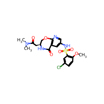 COc1ccc(Cl)cc1S(=O)(=O)Nc1cnc2c(c1)C(=O)N[C@@H](CC(=O)N(C)C)CO2